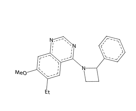 CCc1cc2c(N3CCC3c3ccccc3)ncnc2cc1OC